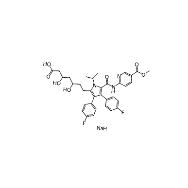 COC(=O)c1ccc(NC(=O)c2c(-c3ccc(F)cc3)c(-c3ccc(F)cc3)c(CCC(O)CC(O)CC(=O)O)n2C(C)C)nc1.[NaH]